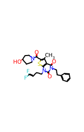 Cc1c(C(=O)N2CCC(O)CC2)sc2c1c(=O)n(CCc1ccccc1)c(=O)n2CCC=C(F)F